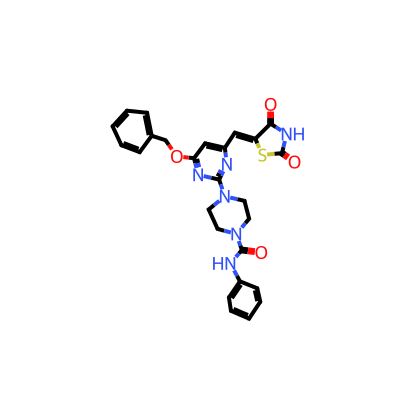 O=C1NC(=O)C(=Cc2cc(OCc3ccccc3)nc(N3CCN(C(=O)Nc4ccccc4)CC3)n2)S1